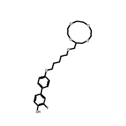 Oc1ccc(-c2ccc(OCCCCCOCC3COCCOCCOCCO3)cc2)cc1F